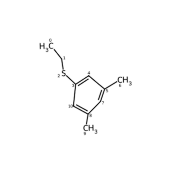 CCSc1cc(C)cc(C)c1